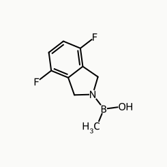 CB(O)N1Cc2c(F)ccc(F)c2C1